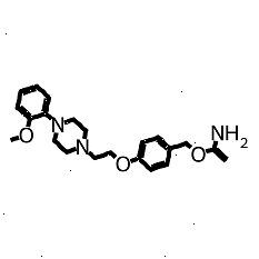 C=C(N)OCc1ccc(OCCN2CCN(c3ccccc3OC)CC2)cc1